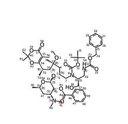 CO[C@](C)(C[C@@H](C)CN(C(=O)OC(C)(C)C)[C@H](CO)CNC(=O)OCc1ccccc1)[C@H](O[C@@H]1O[C@H](C)C[C@H](N(C)C)[C@H]1OC(=O)c1ccccc1)[C@@H](C)C1=C(C)C(=O)OC(C)(C)O1